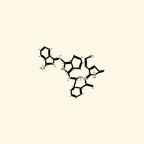 C=C1C=C(/C=C\CC)/C(=N/C(=C)c2ccccc2/C(N)=N/c2[nH]c(/N=C3\N=C(N)c4ccccc43)c3ccccc23)N1